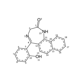 O=C1CN=C(c2ccccc2O)c2ccc3ccccc3c2N1